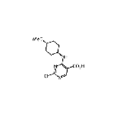 CO[C@H]1CC[C@@H](Nc2nc(Cl)ncc2C(=O)O)CC1